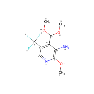 COc1ncc(C(F)(F)F)c(C(OC)OC)c1N